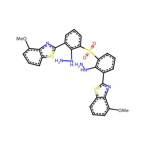 COc1cccc2sc(-c3cccc(S(=O)(=O)c4cccc(-c5nc6c(OC)cccc6s5)c4NN)c3NN)nc12